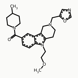 COCCn1c2c(c3cc(C(=O)N4CCC(C)CC4)ccc31)CN(Cc1cnco1)CC2